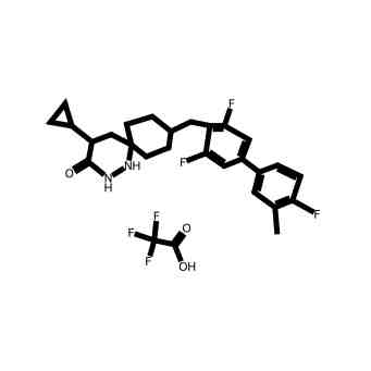 Cc1cc(-c2cc(F)c(CC3CCC4(CC3)CC(C3CC3)C(=O)NN4)c(F)c2)ccc1F.O=C(O)C(F)(F)F